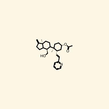 C=C1CCC2[C@H](CO)C([C@@]3(C)CC[C@H](OC(C)=O)C[C@@H]3/C=C/c3ccccn3)CC[C@]12C